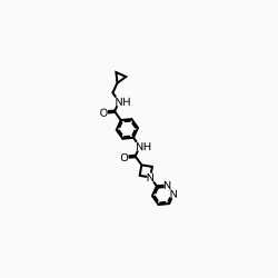 O=C(NCC1CC1)c1ccc(NC(=O)C2CN(c3cccnn3)C2)cc1